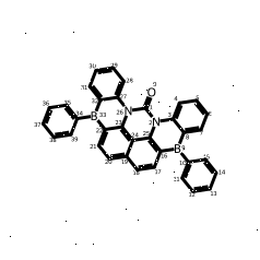 O=C1N2c3ccccc3B(c3ccccc3)c3ccc4ccc5c(c4c32)N1c1ccccc1B5c1ccccc1